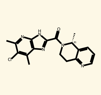 Cc1nc2[nH]c(C(=O)N3CCc4ncccc4[C@H]3C)nc2c(C)c1Cl